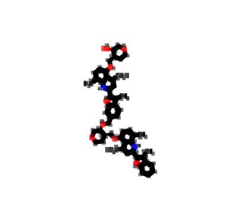 Cc1c(-c2cc(C(=O)O)c3c(OC[C@@H]4CCOC[C@H]4O)ccc(C)c3n2)oc2cc(CO[C@H]3COCC[C@H]3COc3ccc(C)c4nc(-c5oc6ccccc6c5C)cc(C(=O)O)c34)ccc12